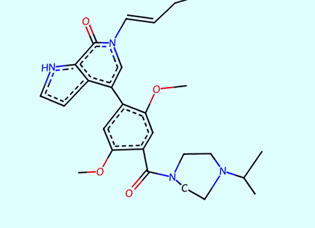 CC/C=C/n1cc(-c2cc(OC)c(C(=O)N3CCN(C(C)C)CC3)cc2OC)c2cc[nH]c2c1=O